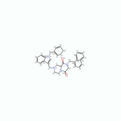 O=C1C2CN(Cc3cn(CC4=CCCC=C4)c4ccccc34)CCN2C(=O)CN1Cc1cccc2ccccc12